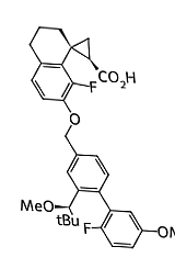 COc1ccc(F)c(-c2ccc(COc3ccc4c(c3F)[C@]3(CCC4)C[C@H]3C(=O)O)cc2[C@H](OC)C(C)(C)C)c1